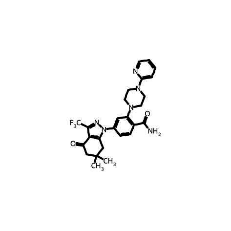 CC1(C)CC(=O)c2c(C(F)(F)F)nn(-c3ccc(C(N)=O)c(N4CCN(c5ccccn5)CC4)c3)c2C1